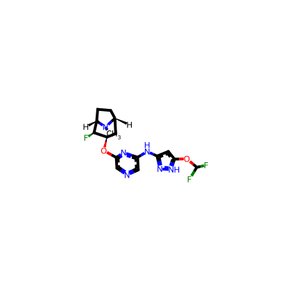 CN1[C@@H]2CC[C@H]1[C@H](F)[C@H](Oc1cncc(Nc3cc(OC(F)F)[nH]n3)n1)C2